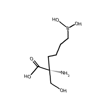 N[C@@](CO)(CCCCB(O)O)C(=O)O